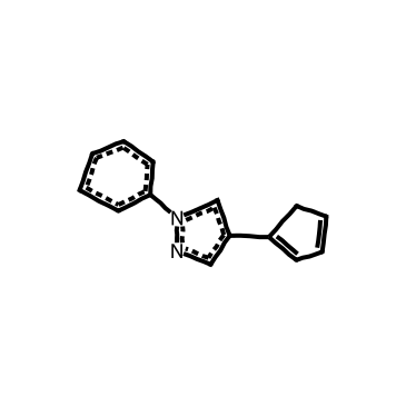 C1=CCC(c2cnn(-c3ccccc3)c2)=C1